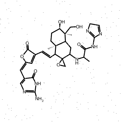 CC(NC1CC2[C@](C)(CC[C@@H](O)[C@@]2(C)CO)C(/C=C/C2=CC(=C\c3cnc(N)[nH]c3=O)/OC2=O)C12CO2)C(=O)NC1=NCC=N1